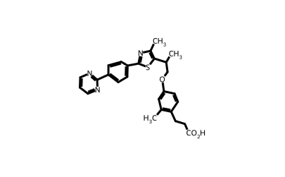 Cc1cc(OCC(C)c2sc(-c3ccc(-c4ncccn4)cc3)nc2C)ccc1CCC(=O)O